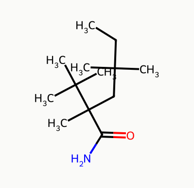 CCC(C)(C)CC(C)(C(N)=O)C(C)(C)C